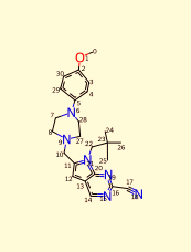 COc1ccc(N2CCN(Cc3cc4cnc(C#N)nc4n3CC(C)(C)C)CC2)cc1